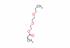 C=CC(=O)OCCOCCOCCC